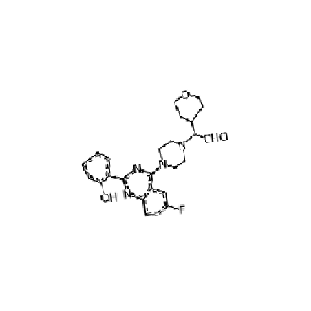 O=CC(C1CCOCC1)N1CCN(c2nc(-c3ccccc3O)nc3ccc(F)cc23)CC1